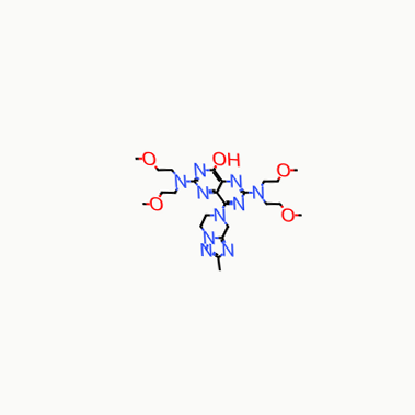 COCCN(CCOC)c1nc(N2CCn3nc(C)nc3C2)c2nc(N(CCOC)CCOC)nc(O)c2n1